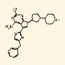 Nc1nc(Cl)nc2c1c(-c1nc(Cc3ccccc3)cs1)cn2C1CCC(C2CCNCC2)C1